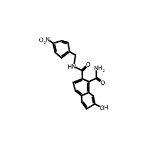 NC(=O)c1c(C(=O)NCc2ccc([N+](=O)[O-])cc2)ccc2ccc(O)cc12